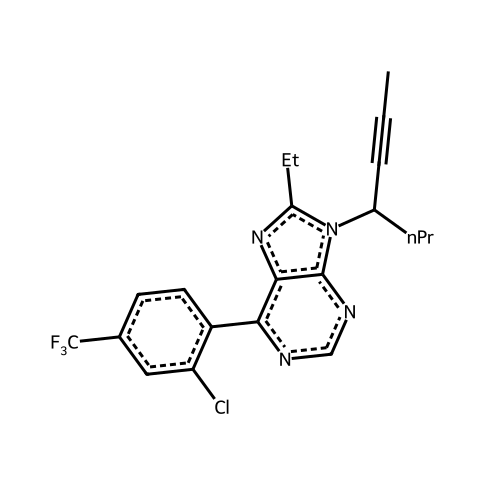 CC#CC(CCC)n1c(CC)nc2c(-c3ccc(C(F)(F)F)cc3Cl)ncnc21